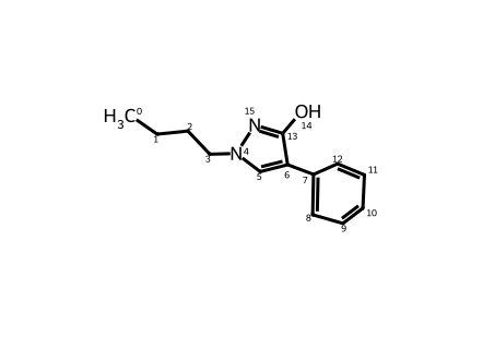 CCCCn1cc(-c2ccccc2)c(O)n1